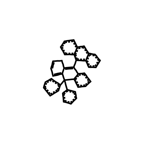 C1=CCC2=C(c3c4ccccc4cc4ccccc34)c3ccccc3C(c3ccccc3)(c3ccccc3)C2=C1